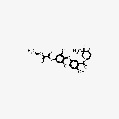 CCOC(=O)C(=O)Nc1cc(Cl)c(Oc2ccc(O)c(C(=O)N3CCCC(C)(C)C3)c2)c(Cl)c1